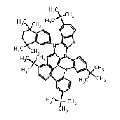 CC(C)(C)c1ccc(-c2cc(C(C)(C)C)ccc2N2c3cc(C(C)(C)C)ccc3B3c4sc5ccc(C(C)(C)C)cc5c4N(c4ccc5c(c4)C(C)(C)CCC5(C)C)c4cccc2c43)cc1